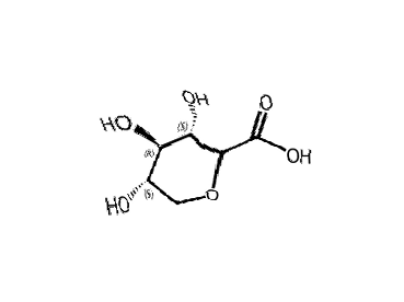 O=C(O)C1OC[C@H](O)[C@@H](O)[C@@H]1O